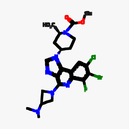 CN(C)C1CN(c2nc3c(F)c(Br)c(Cl)cc3c3c2ncn3[C@H]2CCN(C(=O)OC(C)(C)C)[C@H](C(=O)O)C2)C1